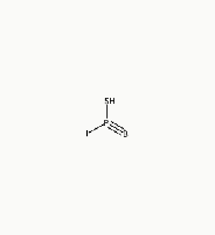 B#P(S)I